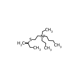 C=C(CC)SCC[N+](CC)(CCC)CCCC